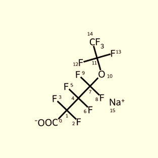 O=C([O-])C(F)(F)C(F)(F)C(F)(F)OC(F)(F)C(F)(F)F.[Na+]